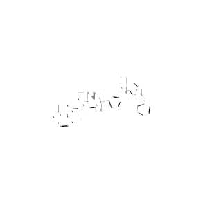 O=C(Nc1cnccn1)Nc1cnc(-c2cccc(Nc3ccn(Cc4ccccc4)c3)c2)nn1